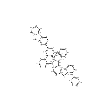 c1ccc(-c2nc(-c3ccc4c(c3)sc3ccccc34)nc(-c3ccccc3-n3c4ccccc4c4c5c(ccc43)oc3c(-c4ccccc4)cccc35)n2)cc1